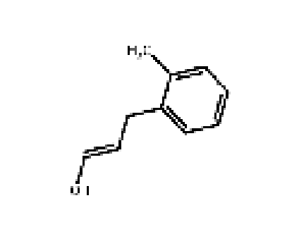 Cc1ccccc1CC=CO